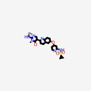 CC(C)Nc1ncc(-c2ccc3cc(Oc4ccnc(NS(=O)(=O)C5CC5)c4)ccc3n2)c(=O)n1C